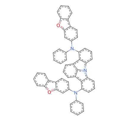 c1ccc(N(c2ccc3c(c2)oc2ccccc23)c2cccc3c2c2cccc4c5c(N(c6ccccc6)c6ccc7c(c6)oc6ccccc67)cccc5n3c24)cc1